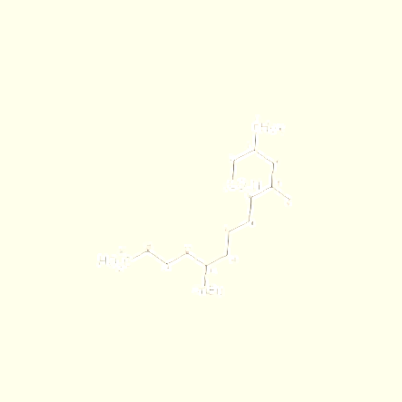 CCCCCCC(CC(=O)O)CC(C)CCCCC(CCCC)CCCC(=O)O